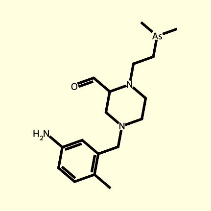 Cc1ccc(N)cc1CN1CCN(CC[As](C)C)C(C=O)C1